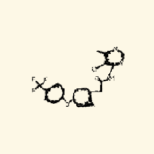 Cc1ncnc(NC(=O)Cc2ccc(Oc3ccc(C(F)(F)F)cc3)cc2)c1Cl